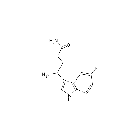 CC(CCC(N)=O)c1c[nH]c2ccc(F)cc12